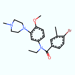 CCN(C(=O)c1ccc(Br)c(C)c1)c1ccc(OC)c(N2CCN(C)CC2)c1